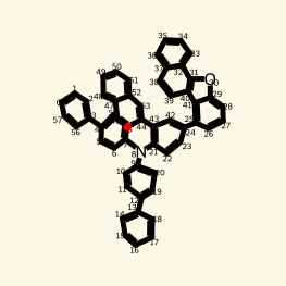 c1ccc(-c2ccc(N(c3ccc(-c4ccccc4)cc3)c3ccc(-c4cccc5oc6c7ccccc7ccc6c45)cc3-c3ccc4ccccc4c3)cc2)cc1